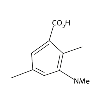 CNc1cc(C)cc(C(=O)O)c1C